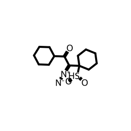 [N-]=[N+]=C(C(=O)C1CCCCC1)C1([SH](=O)=O)CCCCC1